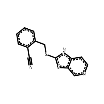 N#Cc1ccccc1CSc1nc2cnccc2[nH]1